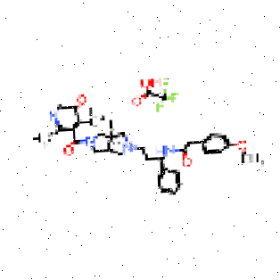 COc1ccc(CC(=O)NC(CCN2CC3CN(C(=O)C4=C(C)C(=O)CN=C4C)C[C@@H]3C2)c2ccccc2)cc1.O=C(O)C(F)(F)F